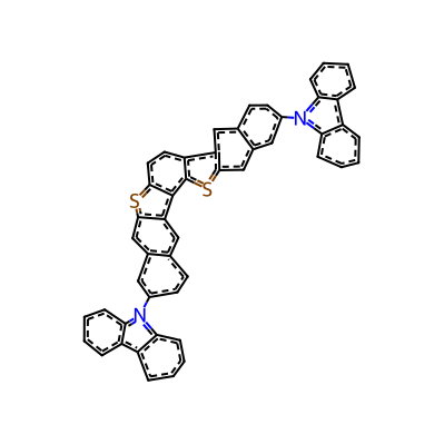 c1ccc2c(c1)c1ccccc1n2-c1ccc2cc3c(cc2c1)sc1c3ccc2sc3cc4cc(-n5c6ccccc6c6ccccc65)ccc4cc3c21